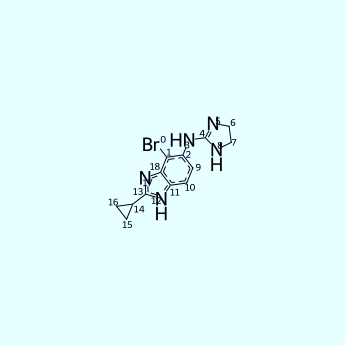 Brc1c(NC2=NCCN2)ccc2[nH]c(C3CC3)nc12